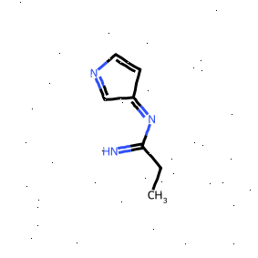 CCC(=N)N=C1C=CN=C1